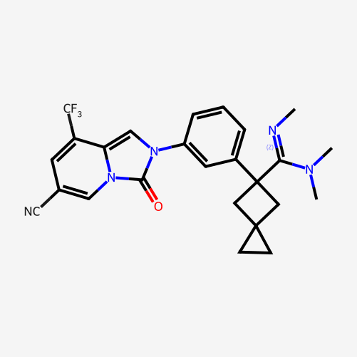 C/N=C(\N(C)C)C1(c2cccc(-n3cc4c(C(F)(F)F)cc(C#N)cn4c3=O)c2)CC2(CC2)C1